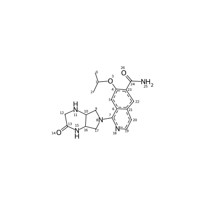 CC(C)Oc1cc2c(N3CC4NCC(=O)NC4C3)nccc2cc1C(N)=O